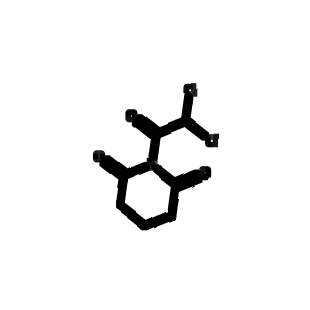 O=C1CCCC(=O)N1C(=O)C(Cl)Cl